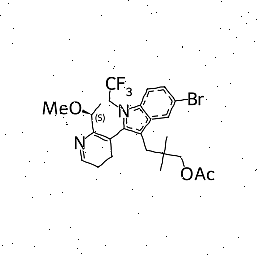 CO[C@@H](C)C1=C(c2c(CC(C)(C)COC(C)=O)c3cc(Br)ccc3n2CC(F)(F)F)CCC=N1